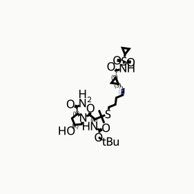 CC(C)(C)OC(=O)N[C@H](C(=O)N1C[C@H](O)C[C@H]1C(N)=O)C(C)(C)SCCC/C=C\[C@@H]1C[C@@H]1C(=O)NS(=O)(=O)C1CC1